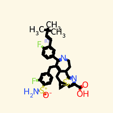 CC(C)(C)/C=C/c1cc(C2=NCCC(c3nc(C(=O)O)cs3)C(CC3CC3)=C2Cc2ccc([S+](N)[O-])c(F)c2)ccc1F